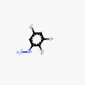 NNc1cc(Cl)cc(Cl)c1Cl